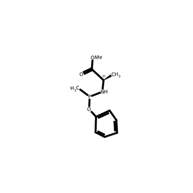 COC(=O)[C@@H](C)NP(C)Oc1ccccc1